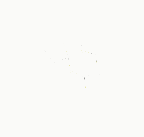 CCC1(S)SCSC(S)S1